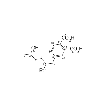 CCC(CCC(C)O)Cc1ccc(C(=O)O)c(C(=O)O)c1